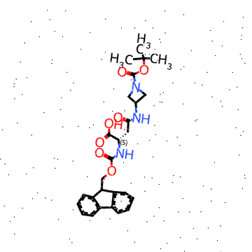 CC(C)(C)OC(=O)N1CC(NC(=O)C[C@H](NC(=O)OCC2c3ccccc3-c3ccccc32)C(=O)O)C1